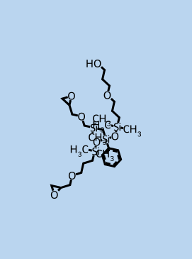 C[Si](C)(COCC1CO1)C[Si](O[Si](C)(C)CCCOCCCO)(O[Si](C)(C)CCCOCC1CO1)c1ccccc1